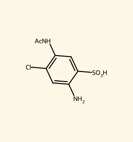 CC(=O)Nc1cc(S(=O)(=O)O)c(N)cc1Cl